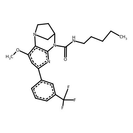 CCCCCNC(=O)N1c2nc(-c3cccc(C(F)(F)F)c3)cc(OC)c2N2CCC1C2